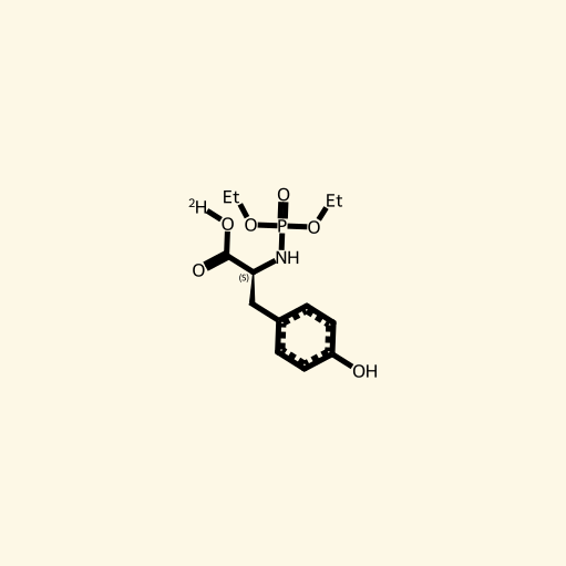 [2H]OC(=O)[C@H](Cc1ccc(O)cc1)NP(=O)(OCC)OCC